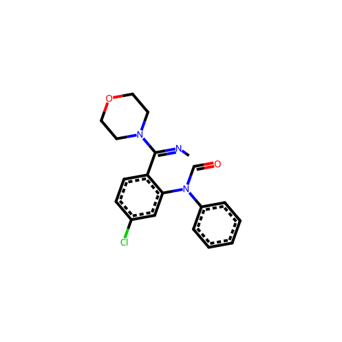 C/N=C(\c1ccc(Cl)cc1N(C=O)c1ccccc1)N1CCOCC1